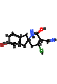 N#CC1=C(Cl)CC2(Cc3ccc(Br)cc3C2)NC1=O